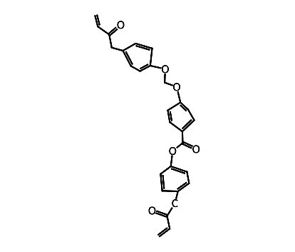 C=CC(=O)Cc1ccc(OCOc2ccc(C(=O)Oc3ccc(CC(=O)C=C)cc3)cc2)cc1